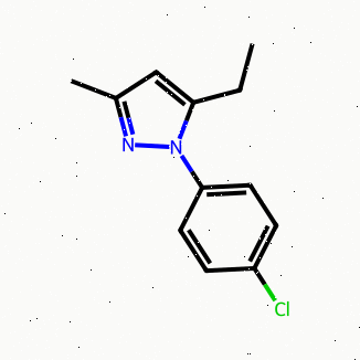 CCc1cc(C)nn1-c1ccc(Cl)cc1